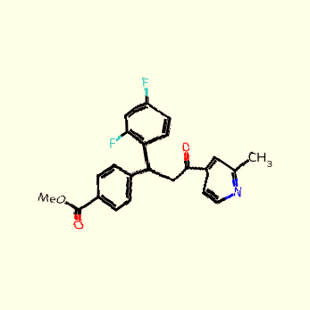 COC(=O)c1ccc(C(CC(=O)c2ccnc(C)c2)c2ccc(F)cc2F)cc1